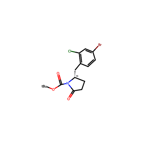 CC(C)(C)OC(=O)N1C(=O)CC[C@H]1Cc1ccc(Br)cc1Cl